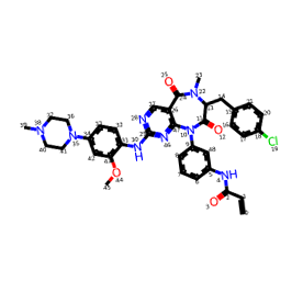 C=CC(=O)Nc1cccc(N2C(=O)C(Cc3ccc(Cl)cc3)N(C)C(=O)c3cnc(Nc4ccc(N5CCN(C)CC5)cc4OC)nc32)c1